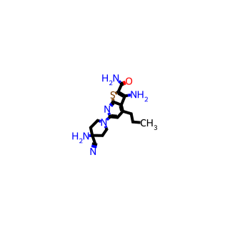 CCCc1cc(N2CCC(N)(C#N)CC2)nc2sc(C(N)=O)c(N)c12